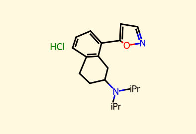 CC(C)N(C(C)C)C1CCc2cccc(-c3ccno3)c2C1.Cl